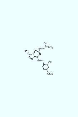 COc1ccc(CNc2nc(NCC(C)O)nc3c2ncn3C(C)C)c(O)c1